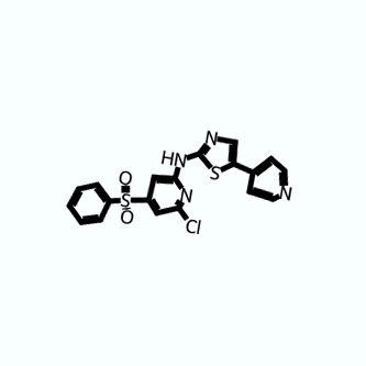 O=S(=O)(c1ccccc1)c1cc(Cl)nc(Nc2ncc(-c3ccncc3)s2)c1